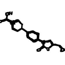 COCC1CN(c2ccc(C3CCN(C(=O)O)CC3)cc2)C(=O)O1